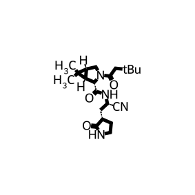 CC(C)(C)CC(=O)N1C[C@H]2[C@@H]([C@H]1C(=O)N[C@H](C#N)C[C@@H]1CCNC1=O)C2(C)C